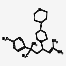 CC(C)=CC(CC(C)(C)c1ccc(C)cc1)N1CCC(C2CCOCC2)CC1